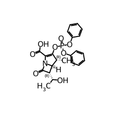 CC(O)[C@@H]1C(=O)N2C(C(=O)O)=C(OP(=O)(Oc3ccccc3)Oc3ccccc3)[C@H](C)[C@@H]12